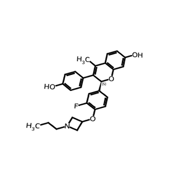 CCCN1CC(Oc2ccc([C@@H]3Oc4cc(O)ccc4C(C)=C3c3ccc(O)cc3)cc2F)C1